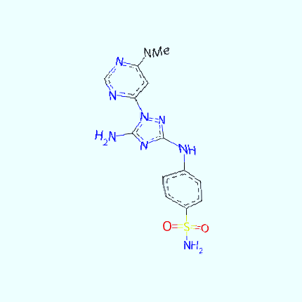 CNc1cc(-n2nc(Nc3ccc(S(N)(=O)=O)cc3)nc2N)ncn1